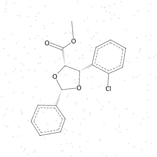 COC(=O)[C@H]1O[C@@H](c2ccccc2)O[C@H]1c1ccccc1Cl